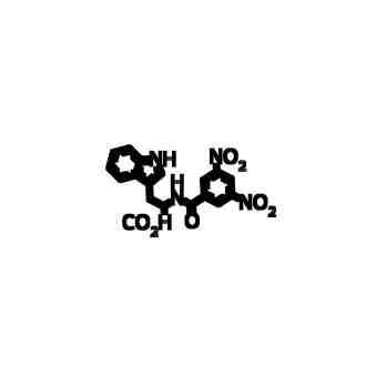 O=C(NC(Cc1c[nH]c2ccccc12)C(=O)O)c1cc([N+](=O)[O-])cc([N+](=O)[O-])c1